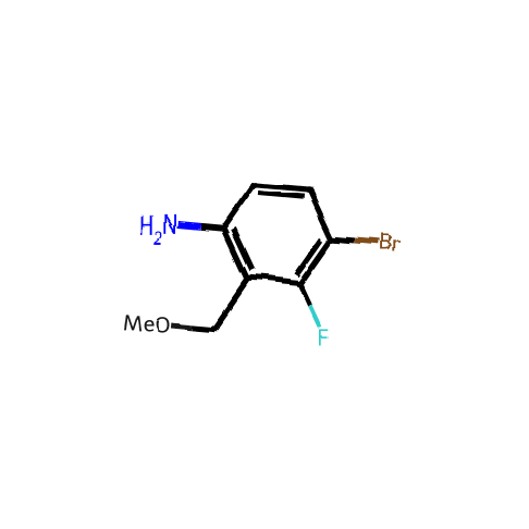 COCc1c(N)ccc(Br)c1F